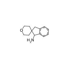 NC1c2ccccc2CC12CCOCC2